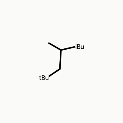 CCC(C)C(C)CC(C)(C)C